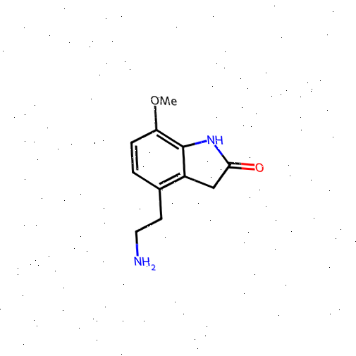 COc1ccc(CCN)c2c1NC(=O)C2